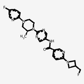 C[C@H]1CN(c2ccc(F)cn2)CCN1c1ncc(NC(=O)c2ccc(N3CC(CF)C3)nc2)cn1